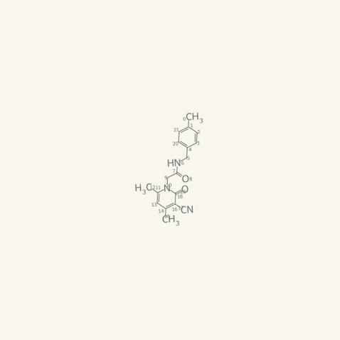 Cc1ccc(CNC(=O)Cn2c(C)cc(C)c(C#N)c2=O)cc1